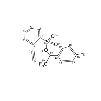 C#Cc1ccccc1S(=O)(=O)OC(c1ccc(C)cc1)C(F)(F)F